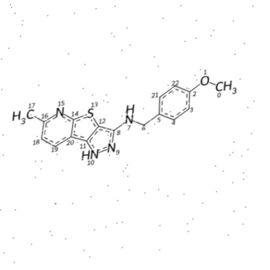 COc1ccc(CNc2n[nH]c3c2sc2nc(C)ccc23)cc1